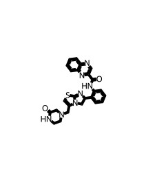 O=C1CN(CC2=CSC3=NC(c4ccccc4NC(=O)c4cnc5ccccc5n4)CN23)CCN1